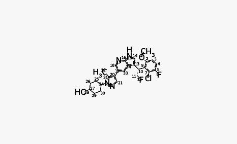 COc1ccc(F)c(Cl)c1[C@H](CF)c1c[nH]c2ncc(-c3cnn(C4CCC(O)CC4)c3C)cc12